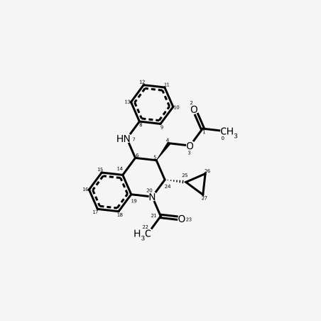 CC(=O)OC[C@@H]1C(Nc2ccccc2)c2ccccc2N(C(C)=O)[C@H]1C1CC1